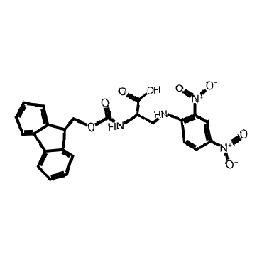 O=C(NC(CNc1ccc([N+](=O)[O-])cc1[N+](=O)[O-])C(=O)O)OCC1c2ccccc2-c2ccccc21